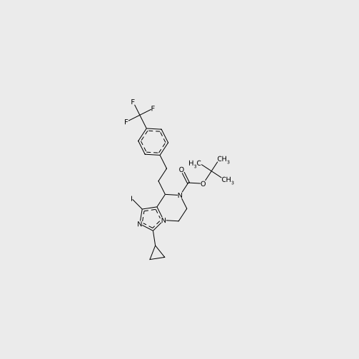 CC(C)(C)OC(=O)N1CCn2c(C3CC3)nc(I)c2C1CCc1ccc(C(F)(F)F)cc1